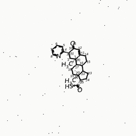 C[C@]12C[C@@H](c3ccccn3)C(=O)C=C1CCC1C2CC[C@@]2(C)C1CC[C@@H]2C(=O)S